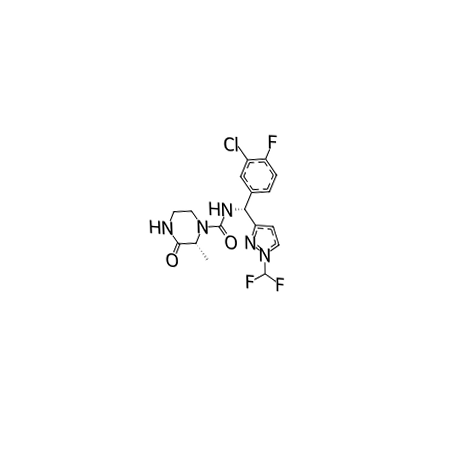 C[C@@H]1C(=O)NCCN1C(=O)N[C@H](c1ccc(F)c(Cl)c1)c1ccn(C(F)F)n1